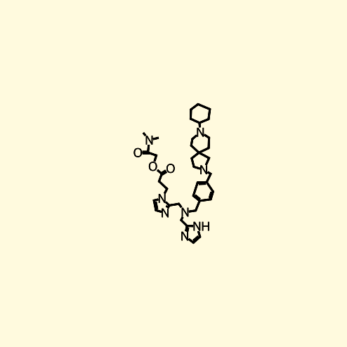 CN(C)C(=O)COC(=O)CCn1ccnc1CN(Cc1ccc(CN2CCC3(CCN(C4CCCCC4)CC3)C2)cc1)Cc1ncc[nH]1